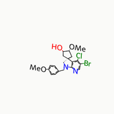 COc1ccc(CN2C[C@@]3(C[C@@H](O)[C@H](OC)C3)c3c2ncc(Br)c3Cl)cc1